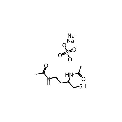 CC(=O)NCCC(CS)NC(C)=O.O=S(=O)([O-])[O-].[Na+].[Na+]